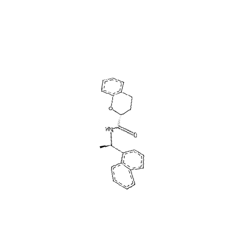 C[C@@H](NC(=O)[C@H]1CCc2ccccc2O1)c1cccc2ccccc12